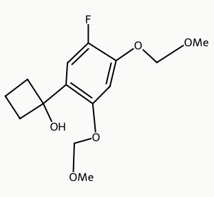 COCOc1cc(OCOC)c(C2(O)CCC2)cc1F